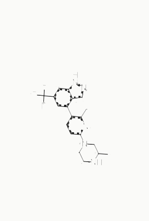 Cc1nc(N2CCNC(C)C2)ccc1-c1cc(C(F)(F)F)cc2[nH]ncc12